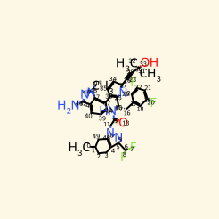 CC1CCc2c(C(F)F)nn(CC(=O)N[C@@H](Cc3cc(F)cc(F)c3)c3nc(C#CC(C)(C)O)ccc3-c3cccc4c(N)nn(C)c34)c2C1